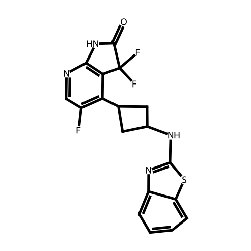 O=C1Nc2ncc(F)c(C3CC(Nc4nc5ccccc5s4)C3)c2C1(F)F